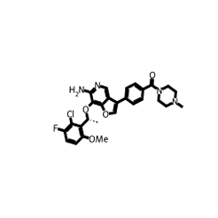 COc1ccc(F)c(Cl)c1[C@@H](C)Oc1c(N)ncc2c(-c3ccc(C(=O)N4CCN(C)CC4)cc3)coc12